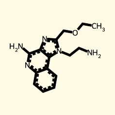 CCOCc1nc2c(N)nc3ccccc3c2n1CCN